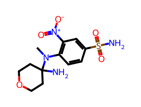 CN(c1ccc(S(N)(=O)=O)cc1[N+](=O)[O-])C1(N)CCOCC1